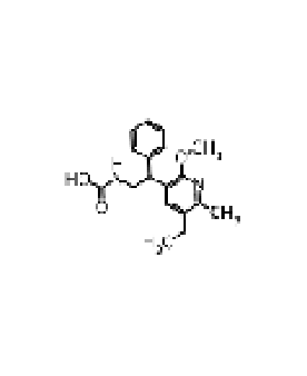 CCc1cc(C(CNC(=O)O)c2ccccc2)c(OC)nc1C